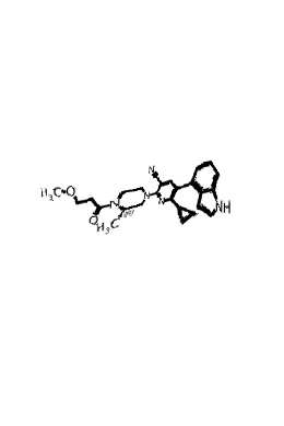 COCCC(=O)N1CCN(c2nc(C3CC3)c(-c3cccc4[nH]ccc34)cc2C#N)C[C@H]1C